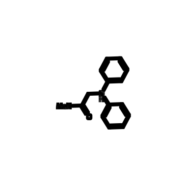 CNC(=O)C[SiH](c1ccccc1)c1ccccc1